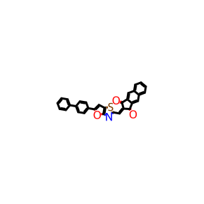 O=C1C(=Cc2nc3oc(-c4ccc(-c5ccccc5)cc4)cc3s2)C(=O)c2cc3ccccc3cc21